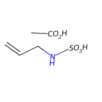 C=CCNS(=O)(=O)O.CC(=O)O